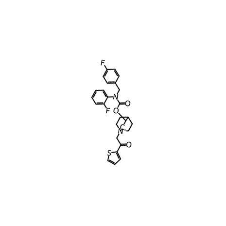 O=C(C[N+]12CCC(CC1)C(OC(=O)N(Cc1ccc(F)cc1)c1ccccc1F)C2)c1cccs1